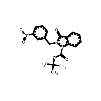 CC(C)(C)OC(=O)n1c2ccccc2c(=O)n1Cc1cccc([N+](=O)[O-])c1